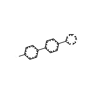 N#Cc1ccc(-c2ccc(-c3nnn[nH]3)cc2)cc1